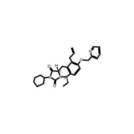 C=CCc1c(OCc2ccccn2)ccc2c1C[C@H]1C(=O)N(C3CCCCC3)C(=O)N1[C@@H]2CC